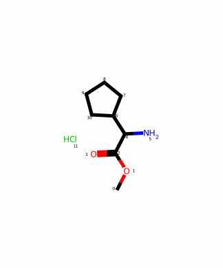 COC(=O)C(N)C1CCCC1.Cl